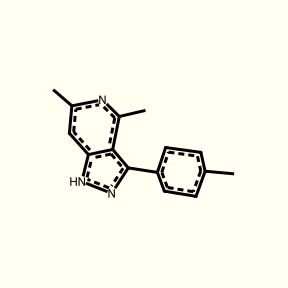 Cc1ccc(-c2n[nH]c3cc(C)nc(C)c23)cc1